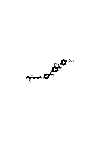 C=CC(=O)OCCCCOc1ccc(C(=O)Oc2ccc(C(=O)Oc3ccc(CCCCCCCCCC)cc3)c(Cl)c2)cc1